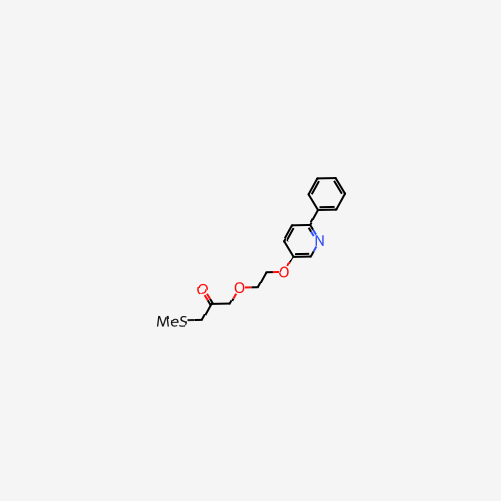 CSCC(=O)COCCOc1ccc(-c2ccccc2)nc1